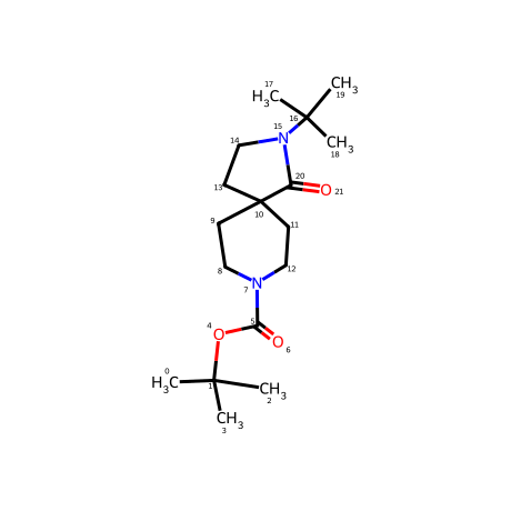 CC(C)(C)OC(=O)N1CCC2(CC1)CCN(C(C)(C)C)C2=O